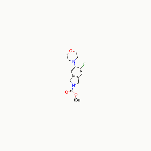 CC(C)(C)OC(=O)N1Cc2cc(F)c(N3CCOCC3)cc2C1